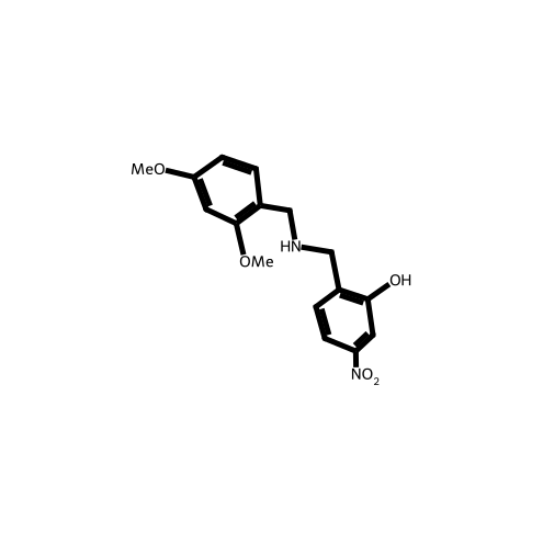 COc1ccc(CNCc2ccc([N+](=O)[O-])cc2O)c(OC)c1